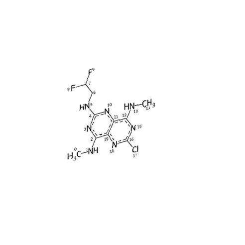 CNc1nc(NCC(F)F)nc2c(NC)nc(Cl)nc12